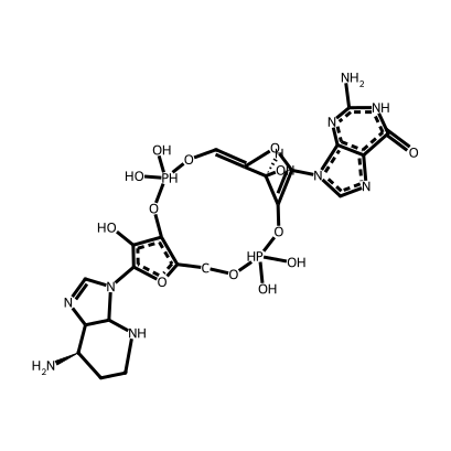 Nc1nc2c(ncn2C2=C3O[PH](O)(O)OCc4oc(N5C=NC6C5NCC[C@H]6N)c(O)c4O[PH](O)(O)O/C=C(/O2)[C@H]3O)c(=O)[nH]1